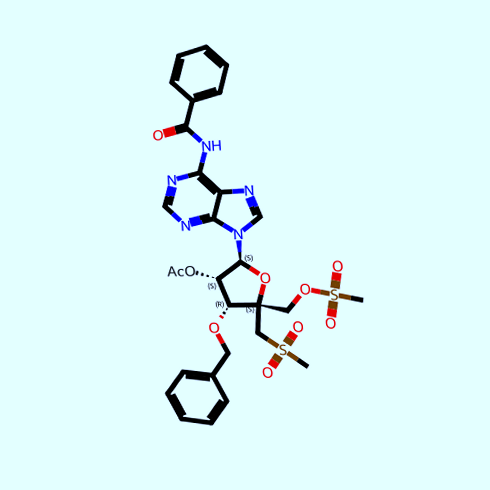 CC(=O)O[C@H]1[C@@H](OCc2ccccc2)[C@@](COS(C)(=O)=O)(CS(C)(=O)=O)O[C@@H]1n1cnc2c(NC(=O)c3ccccc3)ncnc21